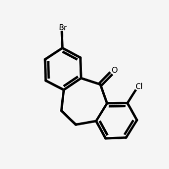 O=C1c2cc(Br)ccc2CCc2cccc(Cl)c21